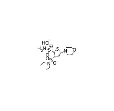 CCN(CC)S(=O)(=O)c1cc(N2CCOCC2)sc1S(N)(=O)=O.Cl